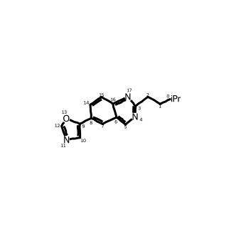 CC(C)CCc1ncc2cc(-c3cnco3)ccc2n1